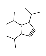 CC(C)C1C#CC(C(C)C)N1C(C)C